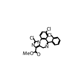 COC(=O)c1nc(Cl)n2c1CN=C(c1ccccc1Cl)c1cc(Cl)ccc1-2